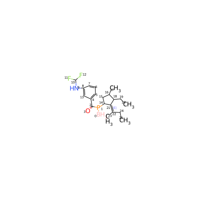 BP(C(=O)c1cccc(NC(F)F)c1)C1CC(C)C(CC)/C1=C(/C)CC